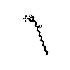 CCCCCCCCCCCC(=O)C=Cc1coc([Si](C)(C)C)c1